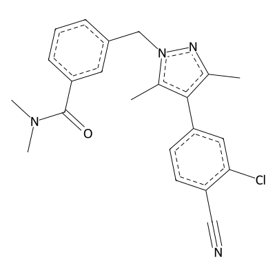 Cc1nn(Cc2cccc(C(=O)N(C)C)c2)c(C)c1-c1ccc(C#N)c(Cl)c1